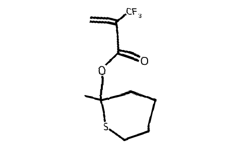 C=C(C(=O)OC1(C)CCCCS1)C(F)(F)F